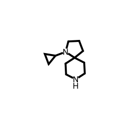 C1CN(C2CC2)C2(C1)CCNCC2